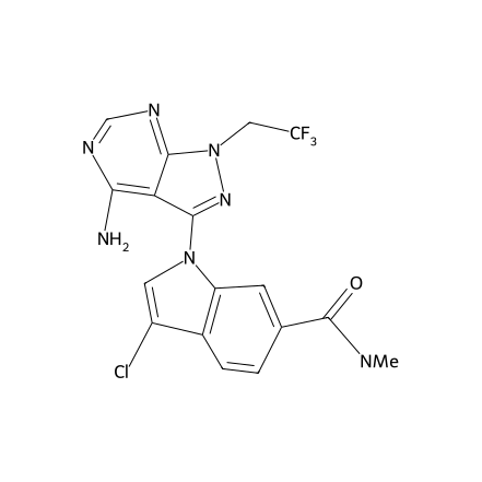 CNC(=O)c1ccc2c(Cl)cn(-c3nn(CC(F)(F)F)c4ncnc(N)c34)c2c1